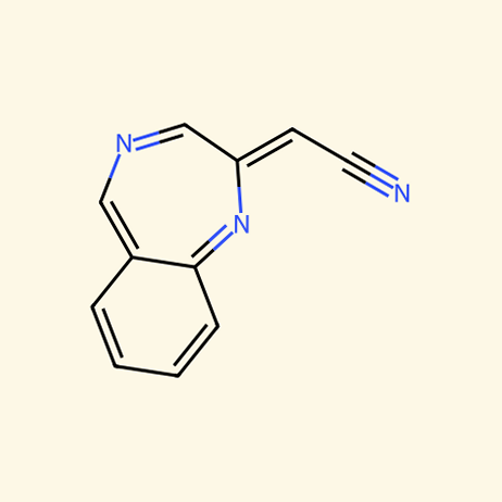 N#CC=C1C=NC=c2ccccc2=N1